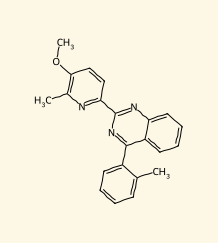 COc1ccc(-c2nc(-c3ccccc3C)c3ccccc3n2)nc1C